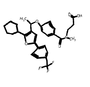 CC(Oc1ccc(C(=O)N(C)CCC(=O)O)cc1)c1cc(-c2ccc(C(F)(F)F)cc2)oc1C1CCCCC1